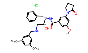 CCOc1cc(C(=O)N[C@@H](Cc2ccccc2)[C@H](O)CNCc2cc(OC)cc(OC)c2)cc(N2CCCC2=O)c1.Cl